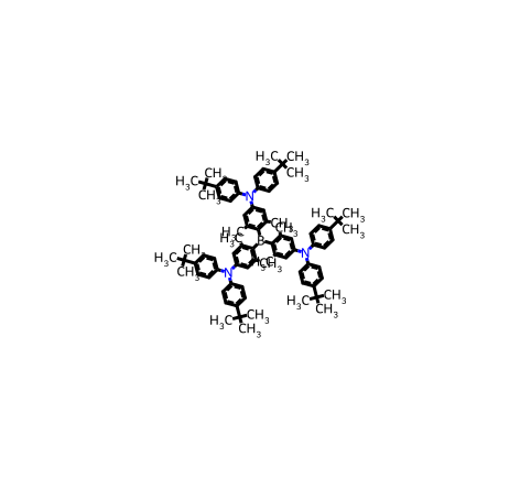 Cc1cc(N(c2ccc(C(C)(C)C)cc2)c2ccc(C(C)(C)C)cc2)cc(C)c1B(c1c(C)cc(N(c2ccc(C(C)(C)C)cc2)c2ccc(C(C)(C)C)cc2)cc1C)c1c(C)cc(N(c2ccc(C(C)(C)C)cc2)c2ccc(C(C)(C)C)cc2)cc1C